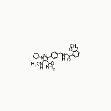 CNc1c(C(N)=O)c(-c2ccc(CNCC(=O)c3ccccc3OC)cc2)nn1C1CCCC1